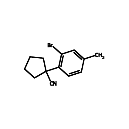 Cc1ccc(C2(C#N)CCCC2)c(Br)c1